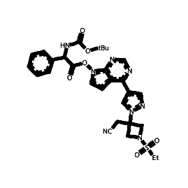 CCS(=O)(=O)N1CC(CC#N)(n2cc(-c3ncnc4c3ccn4OC(=O)C(NC(=O)OC(C)(C)C)c3ccccc3)cn2)C1